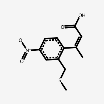 CSCc1cc([N+](=O)[O-])ccc1/C(C)=C\C(=O)O